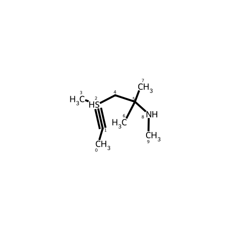 CC#[SH](C)CC(C)(C)NC